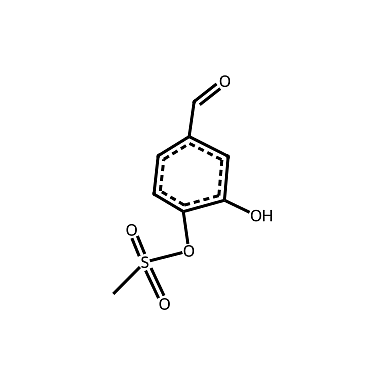 CS(=O)(=O)Oc1ccc(C=O)cc1O